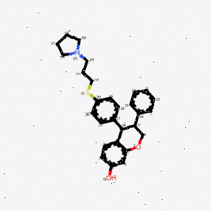 Oc1ccc2c(c1)OCC(c1ccccc1)C2c1ccc(SCCCN2CCCC2)cc1